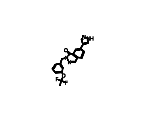 CC(F)(F)Oc1cccc(Cn2ncc3ccc(-c4cn[nH]c4)cc3c2=O)c1